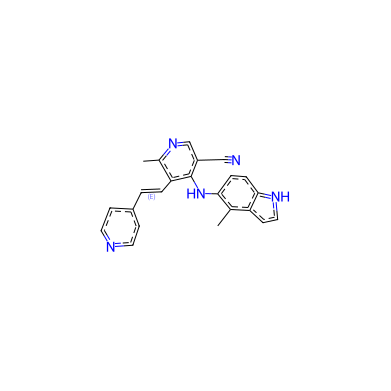 Cc1ncc(C#N)c(Nc2ccc3[nH]ccc3c2C)c1/C=C/c1ccncc1